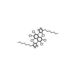 CCCCCCCc1nnc(-c2c(Cl)c(Cl)c(Cl)c3c(-c4nnc(CCCCCCC)s4)c(Cl)c(Cl)c(Cl)c23)s1